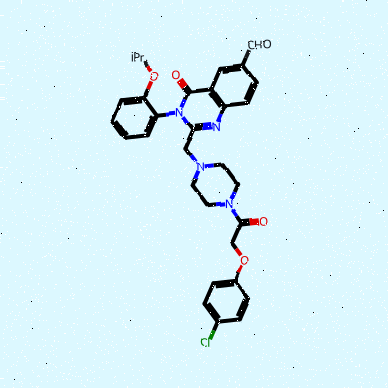 CC(C)Oc1ccccc1-n1c(CN2CCN(C(=O)COc3ccc(Cl)cc3)CC2)nc2ccc(C=O)cc2c1=O